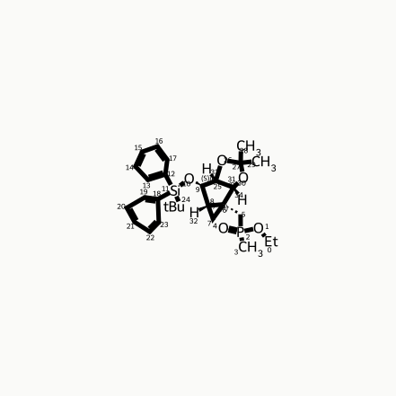 CCOP(C)(=O)C[C@]12C[C@@H]1[C@H](O[Si](c1ccccc1)(c1ccccc1)C(C)(C)C)[C@@H]1OC(C)(C)O[C@@H]12